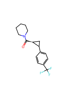 O=C([C@H]1CC1c1ccc(C(F)(F)F)cc1)N1CCCCC1